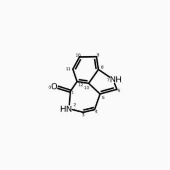 O=C1NC=Cc2c[nH]c3cccc1c23